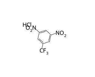 Cl.O=[N+]([O-])c1cc([N+](=O)[O-])cc(C(F)(F)F)c1